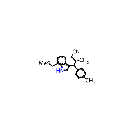 CSCc1cccc2c(C(c3ccc(C)cc3)C(C)CC#N)c[nH]c12